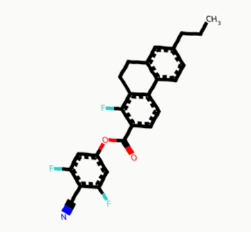 CCCc1ccc2c(c1)CCc1c-2ccc(C(=O)Oc2cc(F)c(C#N)c(F)c2)c1F